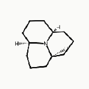 C1C[C@H]2CCC[C@H]3CCC[C@@H](C1)N32